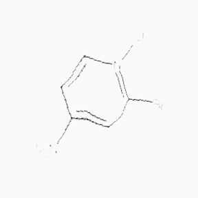 O=[N+]([O-])c1cc[n+]([O-])c(Br)c1